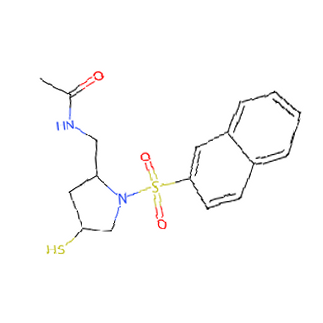 CC(=O)NCC1CC(S)CN1S(=O)(=O)c1ccc2ccccc2c1